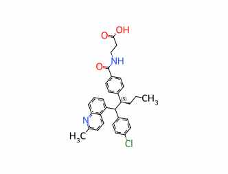 CCC[C@H](c1ccc(C(=O)NCCC(=O)O)cc1)C(c1ccc(Cl)cc1)c1cccc2nc(C)ccc12